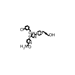 NC(=O)c1ccc(Sc2cnc(N3CCN(CC#CCO)CC3)nc2OCc2cccc(Cl)c2)cn1